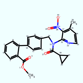 COC(=O)c1ccccc1-c1ccc(CN(C(=O)C2CC2)c2nccc(C)c2[N+](=O)[O-])cc1